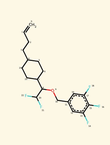 C=CCCC1CCC(C(OCc2cc(F)c(F)c(F)c2)C(F)F)CC1